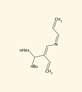 C=C/C=N\C=C(/C=C)C(CCCC)CCCCCC